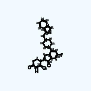 O=C1CCC(N2Cc3c(cc(F)cc3N3CCN(Cc4ncn5ccccc45)CC3)C2=O)C(=O)N1